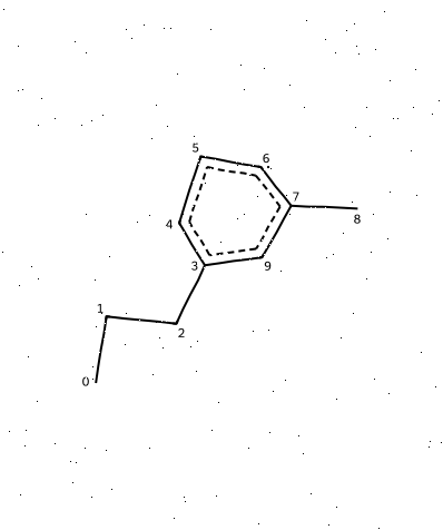 CCCc1cc[c]c(C)c1